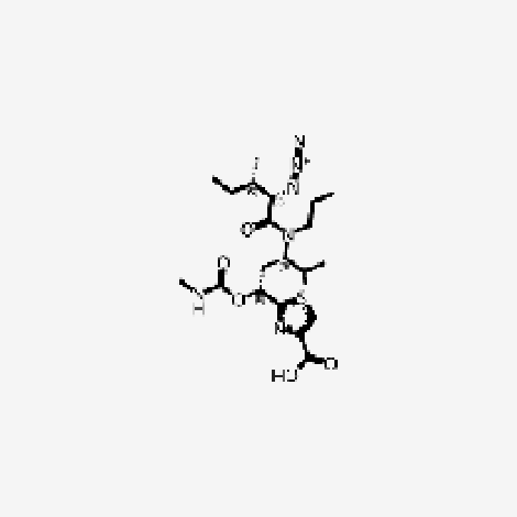 CCCN(C(=O)[C@@H](N=[N+]=[N-])[C@@H](C)CC)[C@H](C[C@@H](OC(=O)NC)c1nc(C(=O)O)cs1)C(C)C